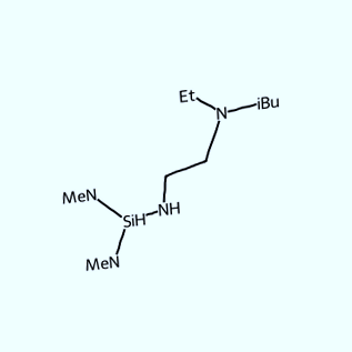 CCC(C)N(CC)CCN[SiH](NC)NC